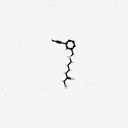 CC#Cc1cccc(COCCCCC(=O)CBr)c1